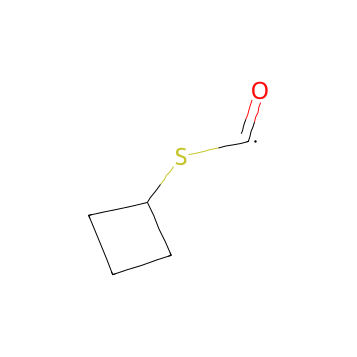 O=[C]SC1CCC1